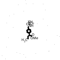 C=CCC(C(=O)OC)c1ccc(CNS(C)(=O)=O)cc1